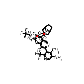 Cc1c(N)cnc(C(F)(F)F)c1-c1ncc2c(N3CC4CCC(C3)N4C(=O)OC(C)(C)C)nc(OCC(F)(F)F)nc2c1F